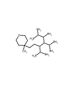 BB(B)B(B)B(B(B)B)N(CCC1(C)CCOCC1)B(B)B